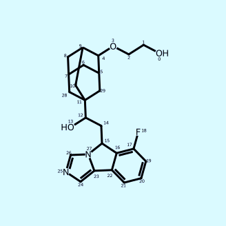 OCCOC1C2CC3CC1CC(C(O)CC1c4c(F)cccc4-c4cncn41)(C3)C2